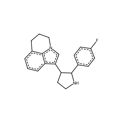 Fc1ccc(C2NCCC2c2cn3c4c(cccc24)CCC3)cc1